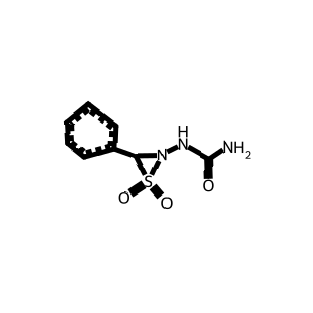 NC(=O)NN1C(c2ccccc2)S1(=O)=O